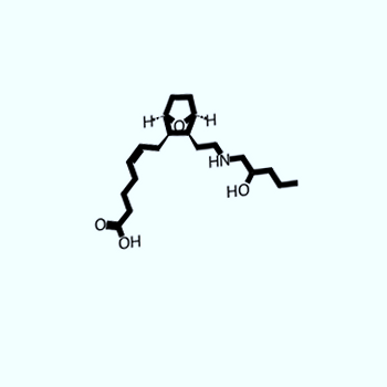 CCCC(O)CNCC[C@H]1[C@@H](C/C=C\CCCC(=O)O)[C@H]2CC[C@@H]1O2